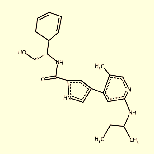 CCC(C)Nc1cc(-c2c[nH]c(C(=O)N[C@H](CO)C3C=CC=CC3)c2)c(C)cn1